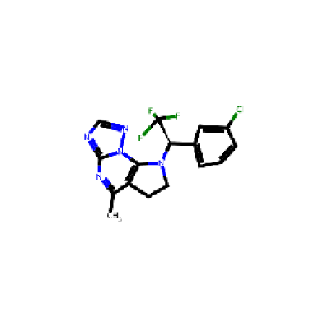 Cc1nc2ncnn2c2c1CCN2[C@H](c1cccc(Cl)c1)C(F)(F)F